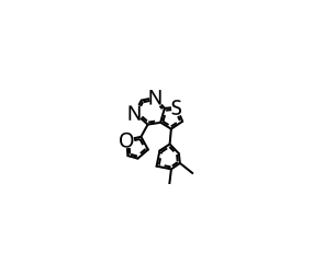 Cc1ccc(-c2csc3ncnc(-c4ccco4)c23)cc1C